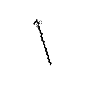 C=C(CC)C(=O)OCCCCCCCCCCCCCCCCCCCCCC